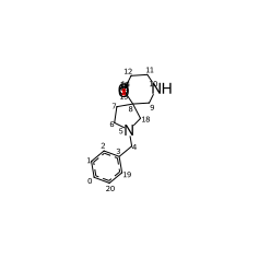 c1ccc(CN2CCC3(CNCCC34OCCO4)C2)cc1